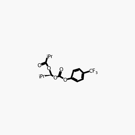 CC(C)C(=O)O[C@@H](OC(=O)Oc1ccc(C(F)(F)F)cc1)C(C)C